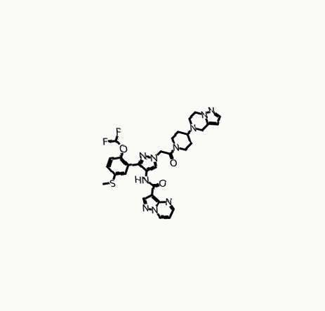 CSc1ccc(OC(F)F)c(-c2nn(CC(=O)N3CCC(N4CCn5nccc5C4)CC3)cc2NC(=O)c2cnn3cccnc23)c1